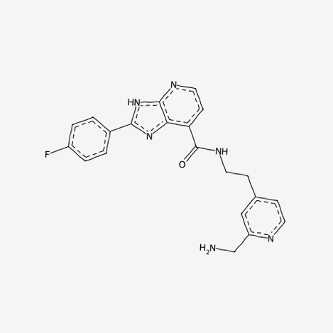 NCc1cc(CCNC(=O)c2ccnc3[nH]c(-c4ccc(F)cc4)nc23)ccn1